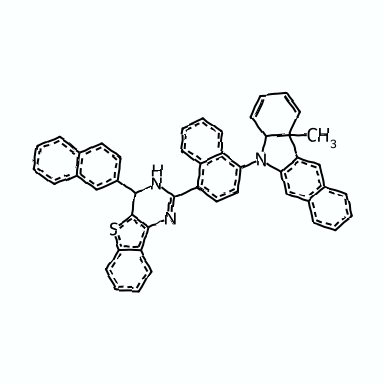 CC12C=CC=CC1N(c1ccc(C3=Nc4c(sc5ccccc45)C(c4ccc5ccccc5c4)N3)c3ccccc13)c1cc3ccccc3cc12